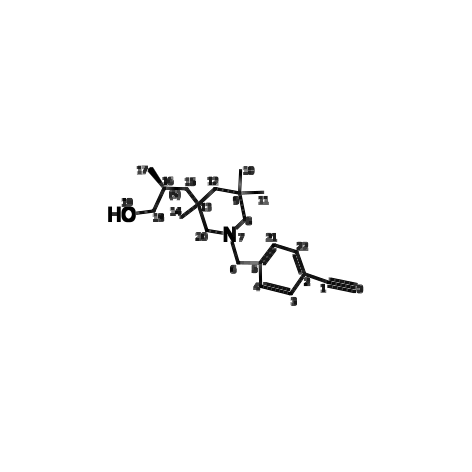 C#Cc1ccc(CN2CC(C)(C)CC(C)(C[C@H](C)CO)C2)cc1